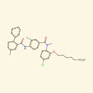 Cc1ccc(-c2ccccc2)c(C(=O)Nc2ccc(C(=O)N(C)c3ccc(Cl)cc3OCCCCCC(=O)O)cc2Cl)c1